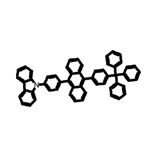 c1ccc(C(c2ccccc2)(c2ccccc2)c2ccc(-c3c4ccccc4c(-c4ccc(-n5c6ccccc6c6ccccc65)cc4)c4ccccc34)cc2)cc1